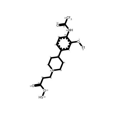 CCOc1cc(C2CCN(CCC(=O)OS)CC2)ccc1NC(=O)C(F)(F)F